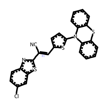 N#C/C(=C\c1ccc(N2c3ccccc3Sc3ccccc32)s1)c1nc2ccc(Cl)cc2s1